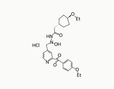 CCOc1ccc(S(=O)(=O)c2cc(CN(O)NC(=O)C[C@H]3CC[C@H](OCC)CC3)ccn2)cc1.Cl